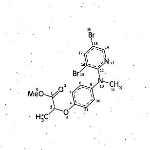 COC(=O)C(C)Oc1ccc(N(C)c2ncc(Br)cc2Br)cc1